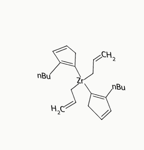 C=C[CH2][Zr]([CH2]C=C)([C]1=C(CCCC)C=CC1)[C]1=C(CCCC)C=CC1